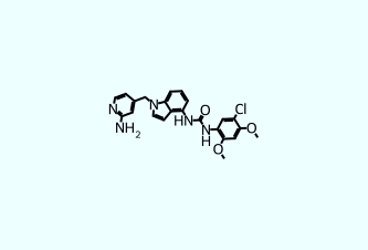 COc1cc(OC)c(NC(=O)Nc2cccc3c2ccn3Cc2ccnc(N)c2)cc1Cl